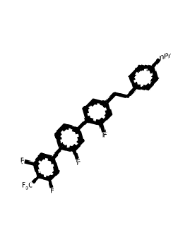 CCCc1ccc(CCc2ccc(-c3ccc(-c4cc(F)c(C(F)(F)F)c(F)c4)c(F)c3)c(F)c2)cc1